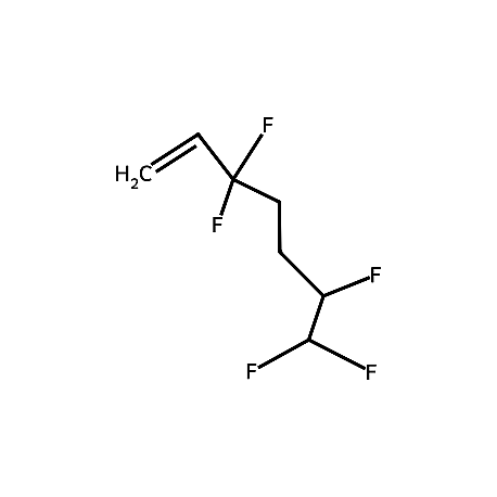 C=CC(F)(F)CCC(F)C(F)F